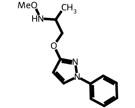 CONC(C)COc1ccn(-c2ccccc2)n1